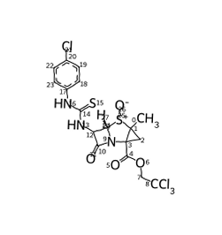 CC12CC1(C(=O)OCC(Cl)(Cl)Cl)N1C(=O)C(NC(=S)Nc3ccc(Cl)cc3)[C@@H]1[S+]2[O-]